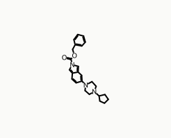 O=C(OCc1ccccc1)n1cc2ccc(N3CCN(C4CCCC4)CC3)cc2c1